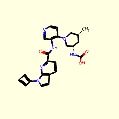 C[C@@H]1C[C@H](NC(=O)O)CN(c2ccncc2NC(=O)c2ccc3ccn(C4=CC=C4)c3n2)C1